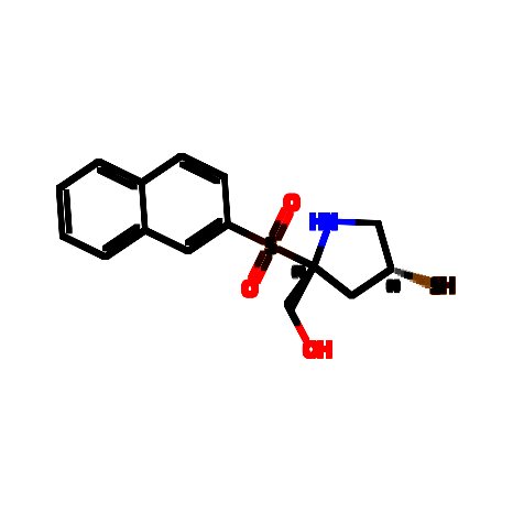 O=S(=O)(c1ccc2ccccc2c1)[C@@]1(CO)C[C@@H](S)CN1